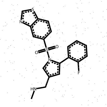 CNCc1cc(-c2ccccc2F)n(S(=O)(=O)c2ccc3scnc3c2)c1